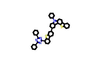 c1ccc(-c2nc(-c3ccccc3)nc(-c3cccc4c3sc3cc(-c5ccc6c(c5)c5c7sc8ccccc8c7ccc5n6-c5ccccc5)ccc34)n2)cc1